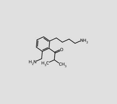 CC(C)C(=O)c1c(CN)cccc1CCCCN